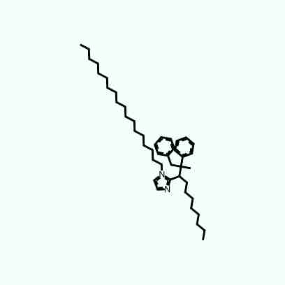 CCCCCCCCCCCCCCCCCCn1ccnc1C(CCCCCCCC)C(C)(Cc1ccccc1)c1ccccc1